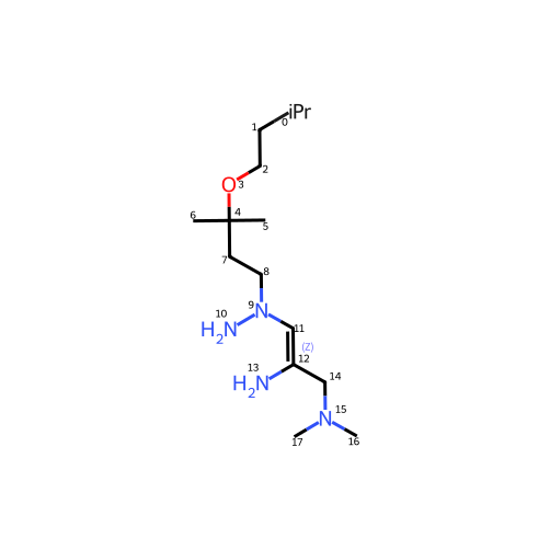 CC(C)CCOC(C)(C)CCN(N)/C=C(\N)CN(C)C